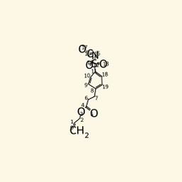 C=CCOC(=O)CCc1ccc(S(=O)(=O)N=C=O)cc1